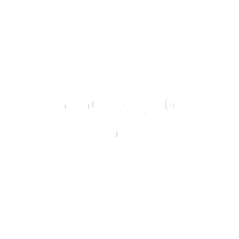 CCCCCC(CC)OC(=O)C(C)CC